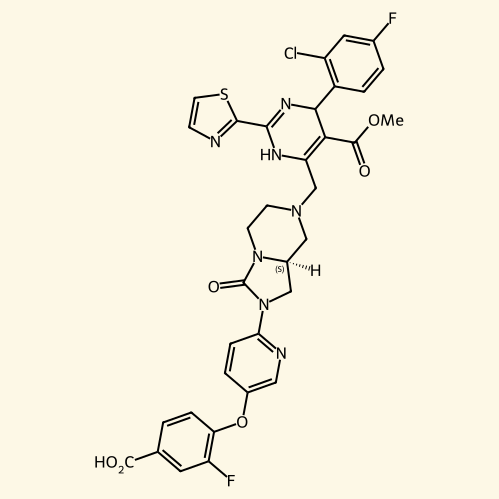 COC(=O)C1=C(CN2CCN3C(=O)N(c4ccc(Oc5ccc(C(=O)O)cc5F)cn4)C[C@@H]3C2)NC(c2nccs2)=NC1c1ccc(F)cc1Cl